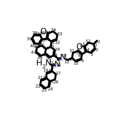 CC1C=Cc2c(oc3c2C=CC(C/N=C(\N=C(/N)C2=Cc4ccccc4CC2)C2=CC(C4=CCCc5oc6ccccc6c54)C4CCC=CC4=C2)C3)C1